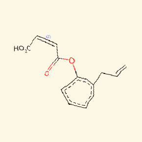 C=CCc1ccccc1OC(=O)/C=C\C(=O)O